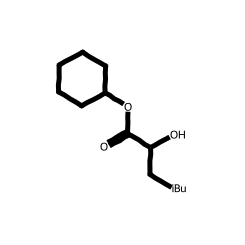 CCC(C)CC(O)C(=O)OC1CCCCC1